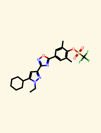 CCn1nc(-c2noc(-c3cc(C)c(OS(=O)(=O)C(F)(F)F)c(C)c3)n2)cc1C1CCCCC1